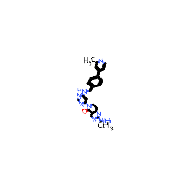 CNc1ncc2c(n1)CCN(c1cc(NCc3ccc(-c4ccnc(C)c4)cc3)ncn1)C2=O